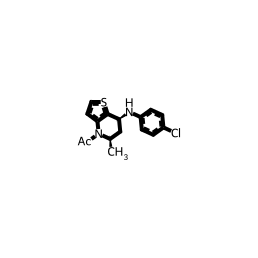 CC(=O)N1c2ccsc2[C@@H](Nc2ccc(Cl)cc2)C[C@H]1C